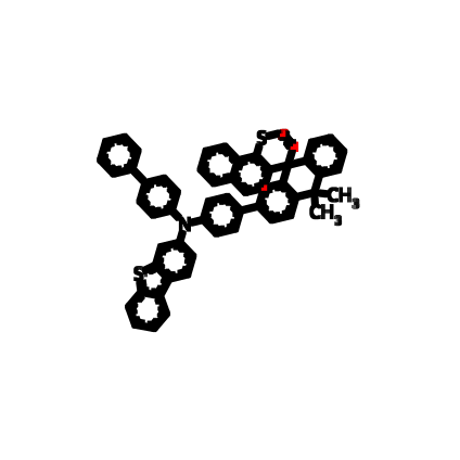 CC1(C)c2ccccc2C2(c3ccccc3Sc3c2ccc2ccccc32)c2cc(-c3ccc(N(c4ccc(-c5ccccc5)cc4)c4ccc5c(c4)sc4ccccc45)cc3)ccc21